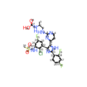 CC(CNc1nccc(-c2[nH]c(-c3ccc(F)cc3F)nc2-c2cc(F)cc(NS(C)(=O)=O)c2Cl)n1)NC(=O)O